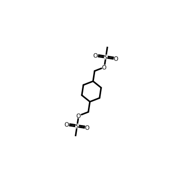 CS(=O)(=O)OCC1CCC(COS(C)(=O)=O)CC1